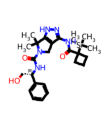 CC1(C)c2[nH]nc(NC(=O)C3([Si](C)(C)C)CCC3)c2CN1C(=O)N[C@@H](CO)c1ccccc1